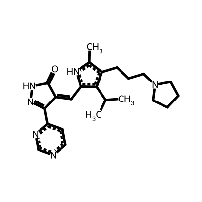 Cc1[nH]c(C=C2C(=O)NN=C2c2ccncn2)c(C(C)C)c1CCCN1CCCC1